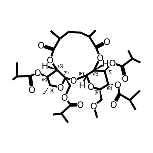 COC[C@H]1O[C@@H]2O[C@]3(COC(=O)C(C)C)O[C@H](C)[C@@H](OC(=O)C(C)C)[C@@H]3OC(=O)C(C)CCC(C)C(=O)O[C@@H]2[C@@H](OC(=O)C(C)C)[C@@H]1OC(=O)C(C)C